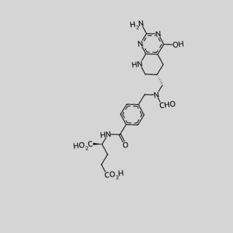 Nc1nc(O)c2c(n1)NC[C@@H](CN(C=O)Cc1ccc(C(=O)N[C@@H](CCC(=O)O)C(=O)O)cc1)C2